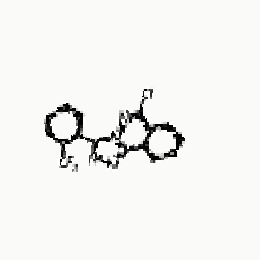 FC(F)(F)c1ccccc1-c1nnc2c3ccccc3c(Cl)nn12